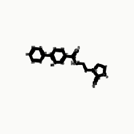 O=C(NCCN1CCOC1=O)c1ccc(-c2ccccc2)nc1